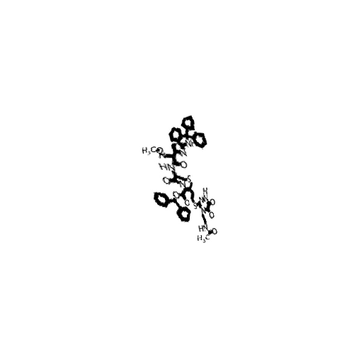 CON=C(C(=O)NC1C(=O)N2C(C(=O)OC(c3ccccc3)c3ccccc3)=C(C=CSc3n[nH]c(=O)c(=O)n3CCNC(C)=O)CSC12)c1csc(NC(c2ccccc2)(c2ccccc2)c2ccccc2)n1